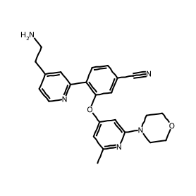 Cc1cc(Oc2cc(C#N)ccc2-c2cc(CCN)ccn2)cc(N2CCOCC2)n1